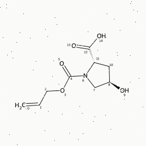 C=CCOC(=O)N1C[C@H](O)C[C@H]1C(=O)O